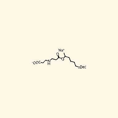 CCCCCCCCCCCCCCC(C)OC(=O)CCNCCC(=O)[O-].[Na+]